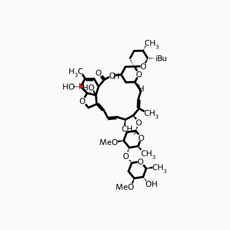 CC[C@@H](C)[C@H]1O[C@]2(CC[C@@H]1C)C[C@@H]1C[C@@H](C/C=C(\C)[C@@H](O[C@H]3C[C@H](OC)[C@@H](O[C@H]4C[C@H](OC)[C@@H](O)[C@H](C)O4)[C@H](C)O3)[C@@H](C)/C=C/C=C3\CO[C@@H]4[C@H](O)C(C)=CC(C(=O)O1)[C@]34O)O2